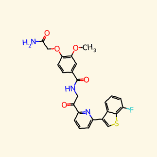 COc1cc(C(=O)NCC(=O)c2cccc(-c3csc4c(F)cccc34)n2)ccc1OCC(N)=O